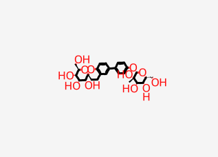 C[C@@]1(O)[C@@H](Oc2ccc(-c3ccc4c(c3)CC[C@]3(O4)O[C@H](CO)[C@@H](O)[C@H](O)[C@@H]3O)cc2)O[C@H](CO)[C@@H](O)[C@@H]1O